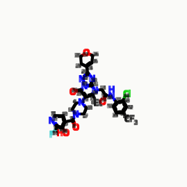 CCc1c(N2CCN(C(=O)c3ccnc(F)c3O)CC2)c(=O)n2nc(C3=CCOCC3)nc2n1CC(=O)Nc1ccc(C(F)(F)F)cc1Cl